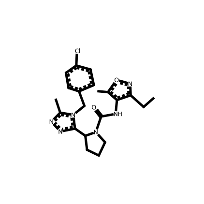 CCc1noc(C)c1NC(=O)N1CCCC1c1nnc(C)n1Cc1ccc(Cl)cc1